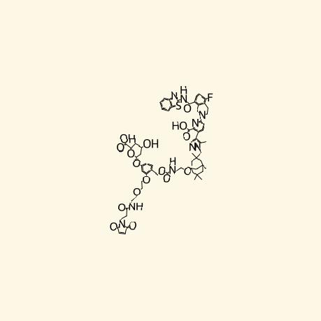 Cc1c(-c2ccc(N3CCc4c(F)ccc(C(=O)Nc5nc6ccccc6s5)c4C3)nc2C(=O)O)cnn1CC1(C)CC2(C)CC(C)(C)CC(OCCNC(=O)OCc3ccc(OC4CC(O)CC(C(=O)O)O4)cc3OCCOCCNC(=O)CCN3C(=O)C=CC3=O)(C1)C2